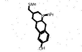 CCCN1CC(CSC)CC2Cc3cc(O)ccc3CC21